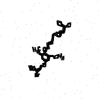 CCc1cc(OCC=C(Br)Br)cc(CC)c1OCCCCOCC=C(Cl)Cl